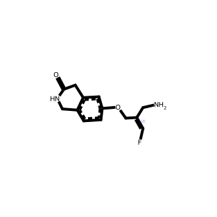 NC/C(=C/F)COc1ccc2c(c1)CC(=O)NC2